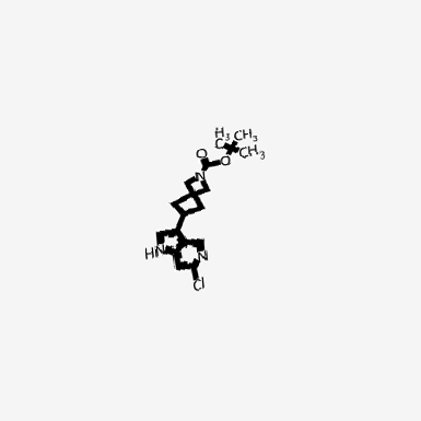 CC(C)(C)OC(=O)N1CC2(CC(c3c[nH]c4cc(Cl)ncc34)C2)C1